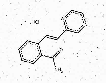 Cl.NC(=O)c1ccccc1C=Cc1cnccn1